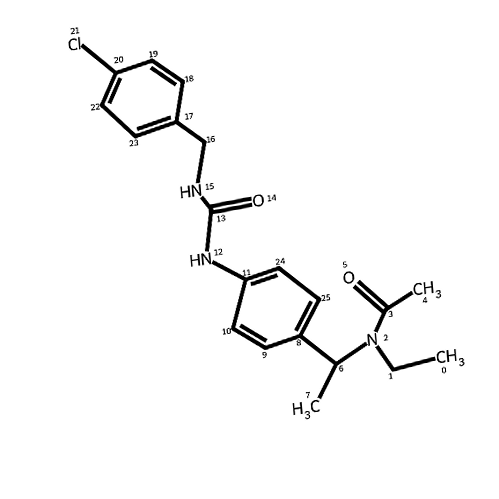 CCN(C(C)=O)C(C)c1ccc(NC(=O)NCc2ccc(Cl)cc2)cc1